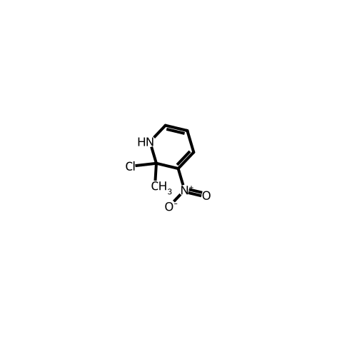 CC1(Cl)NC=CC=C1[N+](=O)[O-]